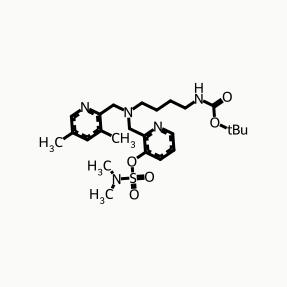 Cc1cnc(CN(CCCCNC(=O)OC(C)(C)C)Cc2ncccc2OS(=O)(=O)N(C)C)c(C)c1